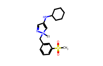 CC[N+]1(Cc2cccc(S(C)(=O)=O)c2)C=C(NC2CCCCC2)C=N1